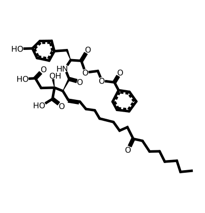 CCCCCCCC(=O)CCCCCC/C=C/[C@H](C(=O)N[C@@H](Cc1ccc(O)cc1)C(=O)OCOC(=O)c1ccccc1)[C@@](O)(CC(=O)O)C(=O)O